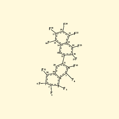 Fc1c(F)c(F)c2c(F)c(F)c(-c3[c]c4c(F)c(F)c(F)c(F)c4c(F)c3F)[c]c2c1F